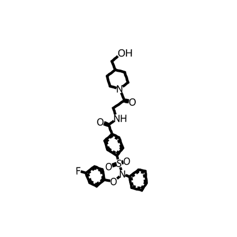 O=C(NCC(=O)N1CCC(CO)CC1)c1ccc(S(=O)(=O)N(Oc2ccc(F)cc2)c2ccccc2)cc1